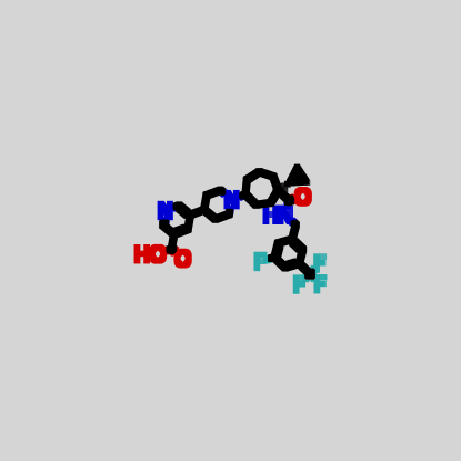 O=C(O)c1cncc(C2CCN(C3CCC[C@](C(=O)NCc4cc(F)cc(C(F)(F)F)c4)(C4CC4)CC3)CC2)c1